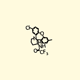 Cc1ccc2c(c1)Oc1ccc(Cl)cc1N1CCC[C@H](NC(=O)C(F)(F)F)[C@@H]21